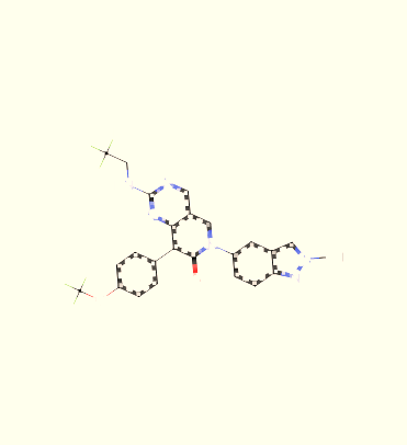 Cn1cc2cc(-n3cc4cnc(NCC(F)(F)F)nc4c(-c4ccc(OC(F)(F)F)cc4)c3=O)ccc2n1